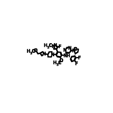 COCC1CN(C2CCN(c3cc(OC)c(Nc4cc(N5OCC[C@@H]5c5cccc(F)c5F)ncn4)cc3-c3cn(C)nc3F)CC2)C1